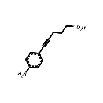 Nc1ccc(C#CCCCC(=O)O)cc1